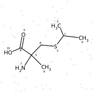 CC(C)SCC(C)(N)C(=O)O